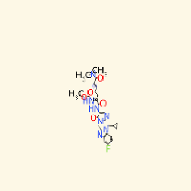 COC(=O)N[C@@H](CC/C=C/C(=O)N(C)C)C(=O)Nc1cncn(Cc2nc3cc(F)ccc3n2CC2CC2)c1=O